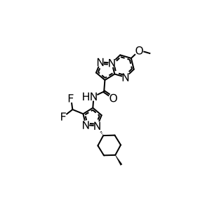 COc1cnc2c(C(=O)Nc3cn([C@H]4CC[C@H](C)CC4)nc3C(F)F)cnn2c1